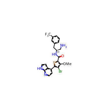 COc1c(C(=O)N[C@H](CN)Cc2cccc(C(F)(F)F)c2)sc(-c2ccnc3[nH]ccc23)c1Br